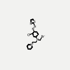 CCN(CC[n+]1ccccc1)c1ccc(N=Nc2nccs2)c(Cl)c1.[Br-]